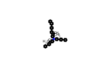 CC1(C)c2cc(-c3ccccc3)ccc2-c2ccc(N(c3ccc(-c4ccc(-c5ccccc5)cc4)cc3)c3ccc4c(c3)C(C)(C)c3cc(-c5ccc(-c6ccc7ccccc7c6)cc5)ccc3-4)cc21